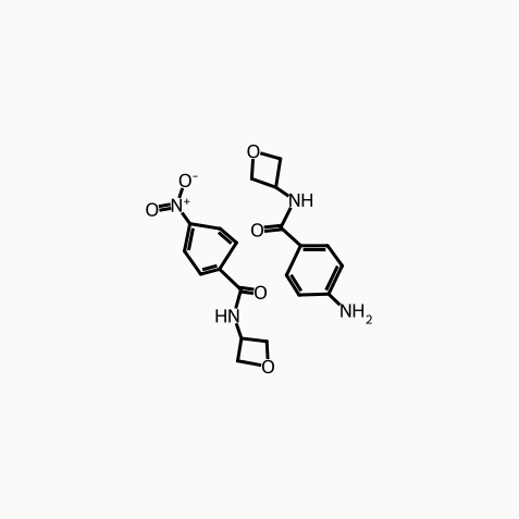 Nc1ccc(C(=O)NC2COC2)cc1.O=C(NC1COC1)c1ccc([N+](=O)[O-])cc1